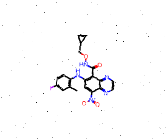 Cc1cc(I)ccc1Nc1cc([N+](=O)[O-])c2nccnc2c1C(=O)NOCC1CC1